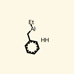 C[CH2][Al][CH2]c1ccccc1.[HH]